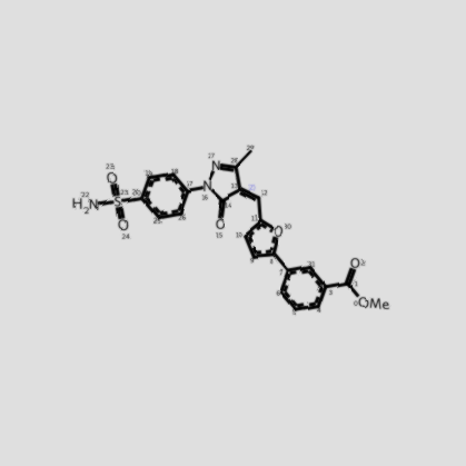 COC(=O)c1cccc(-c2ccc(/C=C3\C(=O)N(c4ccc(S(N)(=O)=O)cc4)N=C3C)o2)c1